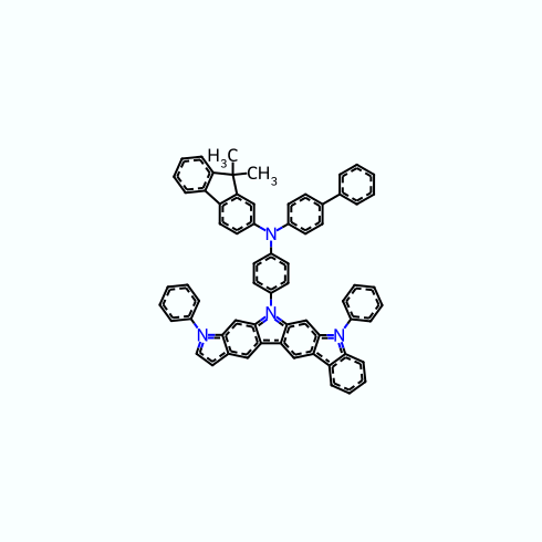 CC1(C)c2ccccc2-c2ccc(N(c3ccc(-c4ccccc4)cc3)c3ccc(-n4c5cc6c(ccn6-c6ccccc6)cc5c5cc6c7ccccc7n(-c7ccccc7)c6cc54)cc3)cc21